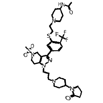 CC(=O)NC1CCN(CCSc2cc(-c3nn(CCCN4CCC(N5CCCC5=O)CC4)c4c3CN(S(C)(=O)=O)CC4)ccc2C(F)(F)F)CC1